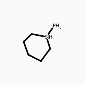 P[SiH]1CCCCC1